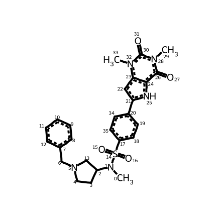 CN(C1CCN(Cc2ccccc2)C1)S(=O)(=O)c1ccc(-c2cc3c([nH]2)c(=O)n(C)c(=O)n3C)cc1